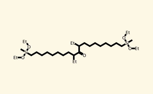 CCO[Si](C)(CCCCCCCCC(CC)C(=O)C(CC)CCCCCCCC[Si](C)(OCC)OCC)OCC